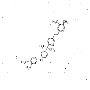 Cc1ccc(CCc2ccc(C(C)(C)c3ccc(Oc4ccc(C)c(C)c4)cc3)cc2)cc1C